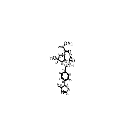 CC(=O)O[C@@H](C)C(=O)N1C[C@@](C)(O)C[C@H]1C1(NCc2ccc(C3SC=NC3C)cc2)CO1